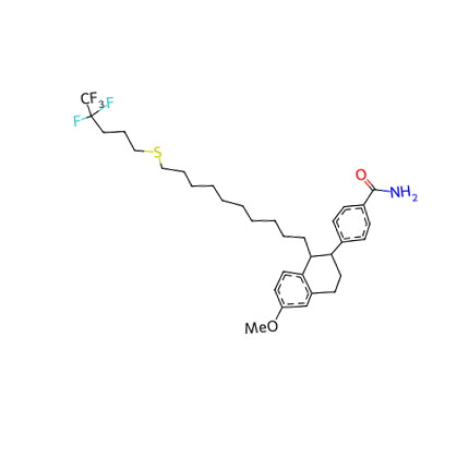 COc1ccc2c(c1)CCC(c1ccc(C(N)=O)cc1)C2CCCCCCCCCCSCCCC(F)(F)C(F)(F)F